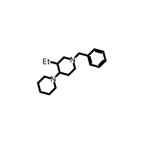 CCC1CN(Cc2ccccc2)CCC1N1CCCCC1